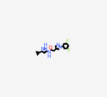 O=C(Cc1cnn(-c2cc(F)cc(F)c2)c1)Nc1cc(C2CC2)n[nH]1